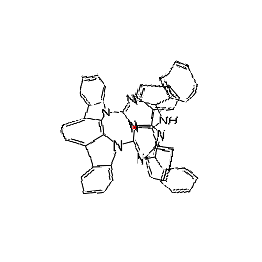 c1ccc(C2=NC(n3c4ccccc4c4ccc5c6ccccc6n(-c6nc(-c7ccccc7)nc(-c7ccccc7)n6)c5c43)=NC(c3ccccc3)N2)cc1